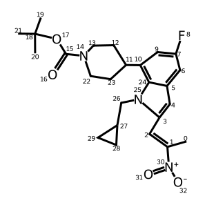 CC(=Cc1cc2cc(F)cc(C3CCN(C(=O)OC(C)(C)C)CC3)c2n1CC1CC1)[N+](=O)[O-]